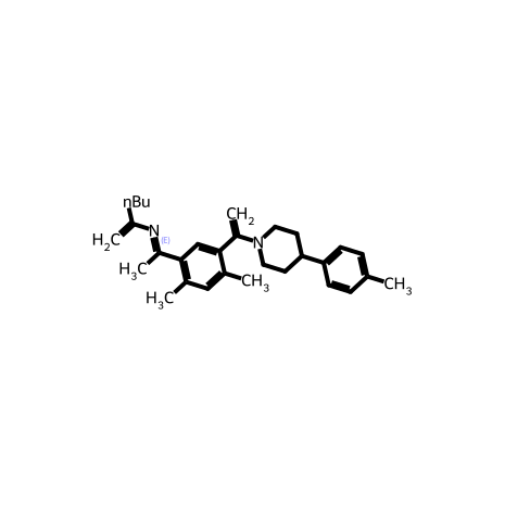 C=C(CCCC)/N=C(\C)c1cc(C(=C)N2CCC(c3ccc(C)cc3)CC2)c(C)cc1C